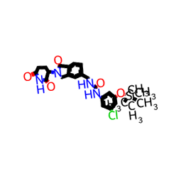 CC(C)(C)[Si](C)(C)Oc1cc(Cl)cc(NC(=O)NCc2ccc3c(c2)CN(C2CCC(=O)NC2=O)C3=O)c1